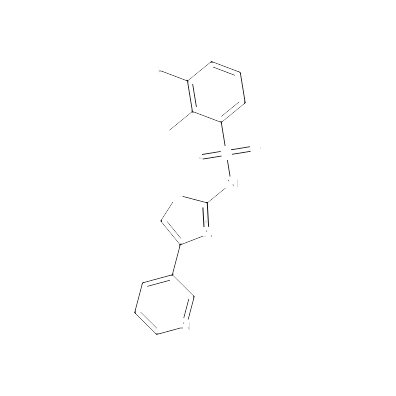 Cc1c(Cl)cccc1S(=O)(=O)Nc1nc(-c2cccnc2)cs1